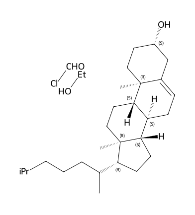 CC(C)CCCC(C)[C@H]1CC[C@H]2[C@@H]3CC=C4C[C@@H](O)CC[C@]4(C)[C@H]3CC[C@]12C.CCO.O=CCl